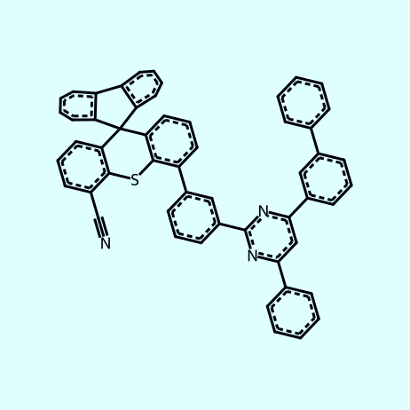 N#Cc1cccc2c1Sc1c(-c3cccc(-c4nc(-c5ccccc5)cc(-c5cccc(-c6ccccc6)c5)n4)c3)cccc1C21c2ccccc2-c2ccccc21